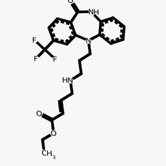 CCOC(=O)/C=C/CNCCCN1c2ccccc2NC(=O)c2ccc(C(F)(F)F)cc21